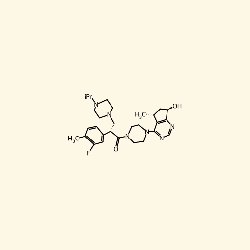 Cc1ccc([C@H](CN2CCN(C(C)C)CC2)C(=O)N2CCN(c3ncnc4c3[C@H](C)C[C@H]4O)CC2)cc1F